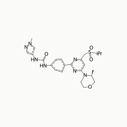 CC(C)S(=O)(=O)Cc1cc(N2CCOC[C@@H]2C)nc(-c2ccc(NC(=O)Nc3cnn(C)c3)cc2)n1